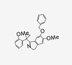 COc1cc2c(cc1OCc1ccccc1)C(C1(c3ccccc3OC)CC1)=NCC2